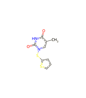 Cc1cn(Sc2cccs2)c(=O)[nH]c1=O